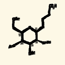 CC(=O)N[C@@H]1[C@@H](OC(C)=O)[C@@H](OC(C)=O)[C@@H](COC(C)=O)O[C@H]1SCCC(=O)O